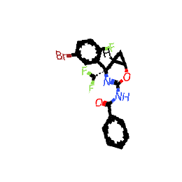 O=C(NC1=N[C@](c2cc(Br)ccc2F)(C(F)F)[C@@H]2CC2O1)c1ccccc1